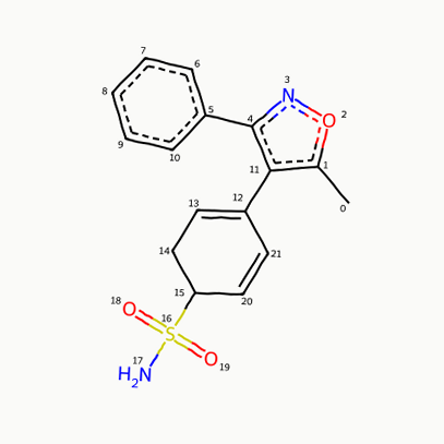 Cc1onc(-c2ccccc2)c1C1=CCC(S(N)(=O)=O)C=C1